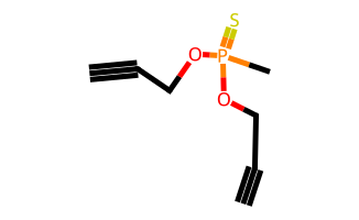 C#CCOP(C)(=S)OCC#C